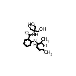 C=C/C=C\C(Nc1ccccc1C(=O)NC(CO)(CO)CO)=C(\C)CC